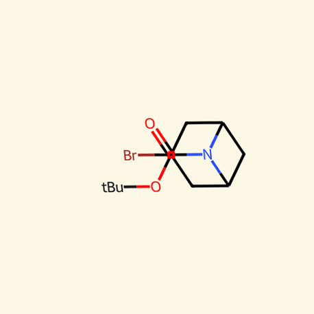 CC(C)(C)OC(=O)N1C2CC(Br)CC1C2